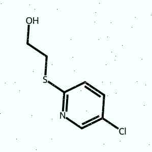 OCCSc1ccc(Cl)cn1